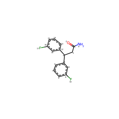 NC(=O)CC(c1cccc(F)c1)c1cccc(F)c1